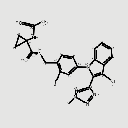 Cn1nnc(-c2c(Cl)c3ccccc3n2-c2ccc(CNC(=O)C3(NC(=O)C(F)(F)F)CC3)c(F)c2)n1